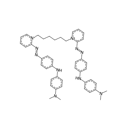 CN(C)c1ccc(Nc2ccc(/N=N/c3cccc[n+]3CCCCCC[n+]3ccccc3/N=N/c3ccc(Nc4ccc(N(C)C)cc4)cc3)cc2)cc1